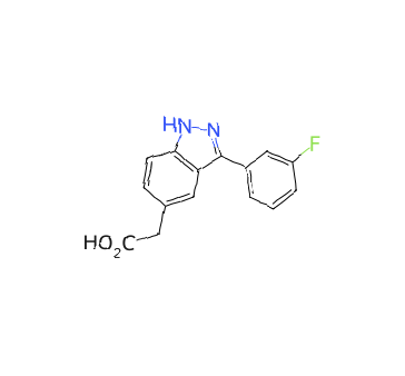 O=C(O)Cc1ccc2[nH]nc(-c3cccc(F)c3)c2c1